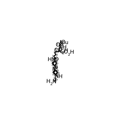 CC(C)(C)OC(=O)NC[C@@H](C[C@H](CCCC(=O)Nc1ccc(/N=N/c2ccc(NCCN)cc2)cc1)C(=O)O)C(=O)O